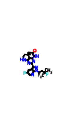 CC(F)(CCn1nc(-c2nc3c4c(n2)NC(=O)C[C@@]4(C)CCN3)c2cc(F)cnc21)C(F)(F)F